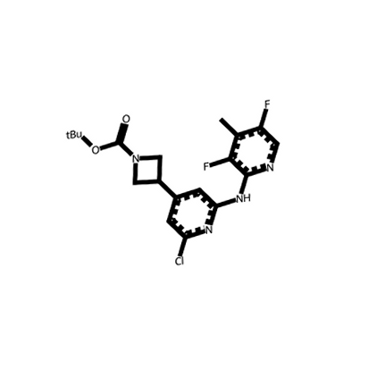 Cc1c(F)cnc(Nc2cc(C3CN(C(=O)OC(C)(C)C)C3)cc(Cl)n2)c1F